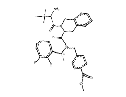 COC(=O)c1ccc(CN(C(=O)C2Cc3ccccc3CN2C(=O)C(N)C(C)(C)C)[C@H](C)c2cccc(F)c2F)cc1